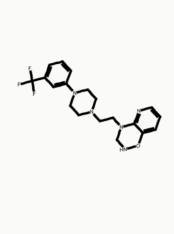 FC(F)(F)c1cccc(N2CCN(CCN3CNOc4cccnc43)CC2)c1